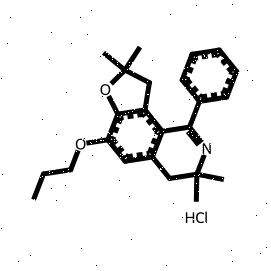 CCCOc1cc2c(c3c1OC(C)(C)C3)C(c1ccccc1)=NC(C)(C)C2.Cl